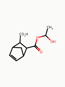 CC(O)OC(=O)C1C2C=CC(C2)C1C(=O)O